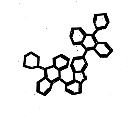 c1ccc(-c2c3ccccc3c(-c3ccc4c(c3)sc3cccc(-c5c6ccccc6c(C6CCCCC6)c6ccccc56)c34)c3ccccc23)cc1